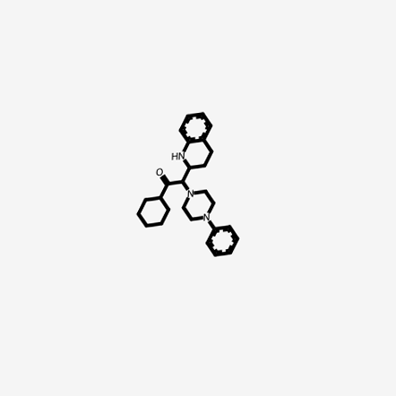 O=C(C1CCCCC1)C(C1CCc2ccccc2N1)N1CCN(c2ccccc2)CC1